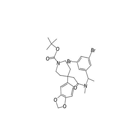 CC(c1cc(Br)cc(Br)c1)N(C)C(=O)CC1(c2ccc3c(c2)OCO3)CCN(C(=O)OC(C)(C)C)CC1